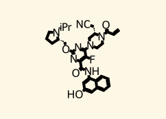 C=CC(=O)N1CCN(c2nc(OC[C@@H]3CCCN3C(C)C)nc(C(=O)Nc3cc(O)cc4ccccc34)c2F)C[C@@H]1CC#N